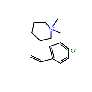 C=Cc1ccccc1.C[N+]1(C)CCCCC1.[Cl-]